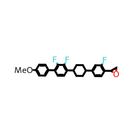 COc1ccc(-c2ccc(C3CCC(c4ccc(C5CO5)c(F)c4)CC3)c(F)c2F)cc1